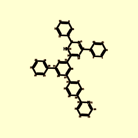 c1ccc(C2=NC(c3ccccc3)NC(c3cc(-c4ccccc4)cc(-c4ccc(-c5ccccn5)cc4)c3)=N2)cc1